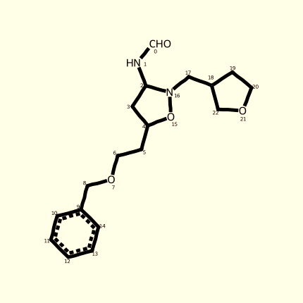 O=CNC1CC(CCOCc2ccccc2)ON1CC1CCOC1